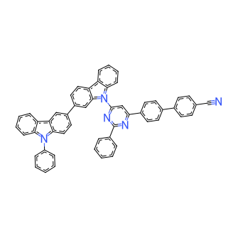 N#Cc1ccc(-c2ccc(-c3cc(-n4c5ccccc5c5ccc(-c6ccc7c(c6)c6ccccc6n7-c6ccccc6)cc54)nc(-c4ccccc4)n3)cc2)cc1